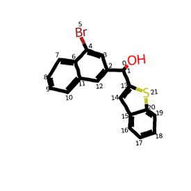 OC(c1cc(Br)c2ccccc2c1)c1cc2ccccc2s1